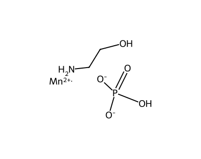 NCCO.O=P([O-])([O-])O.[Mn+2]